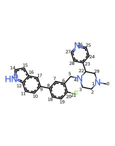 CN1CCN(Cc2cc(-c3ccc4[nH]ccc4c3)ccc2F)C(c2ccncc2)C1